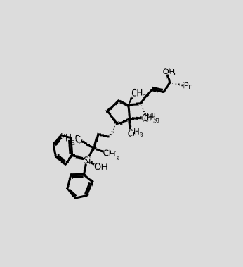 CC(C)[C@@H](O)/C=C/[C@H](C)[C@@]1(C)CC[C@@H](CCC(C)(C)[Si](O)(c2ccccc2)c2ccccc2)C1(C)C